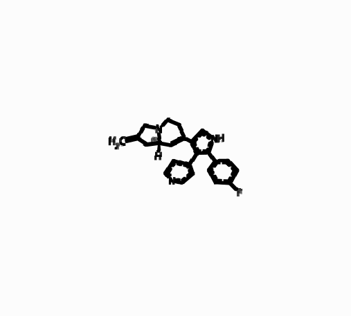 C=C1C[C@H]2C=C(c3c[nH]c(-c4ccc(F)cc4)c3-c3ccncc3)CCN2C1